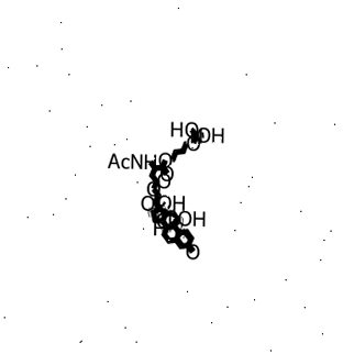 CC(=O)NC(CC(=O)OCC(=O)[C@@]1(O)[C@@H](C)CC2[C@@H]3CCC4=CC(=O)C=C[C@]4(C)C3(Cl)[C@@H](O)C[C@@]21C)C(=O)OCCCCON(O)O